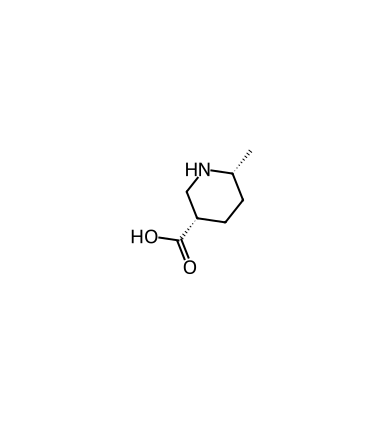 C[C@@H]1CC[C@H](C(=O)O)CN1